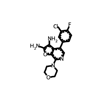 Nc1oc2c(N3CCOCC3)ncc(-c3ccc(F)c(Cl)c3)c2c1N